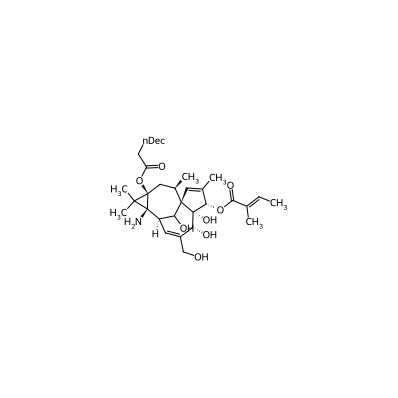 C/C=C(\C)C(=O)O[C@H]1C(C)=C[C@]23C(O)[C@@H](C=C(CO)[C@@H](O)[C@]12O)[C@]1(N)C(C)(C)[C@]1(OC(=O)CCCCCCCCCCC)C[C@H]3C